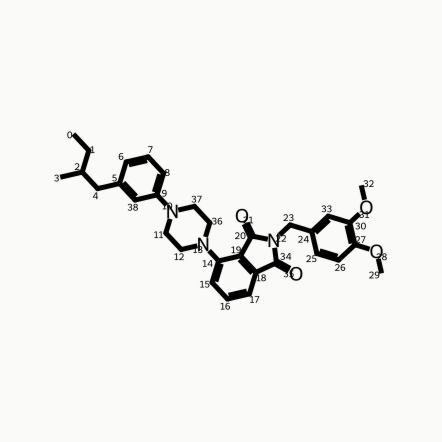 CCC(C)Cc1cccc(N2CCN(c3cccc4c3C(=O)N(Cc3ccc(OC)c(OC)c3)C4=O)CC2)c1